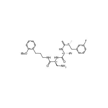 C=C(N[C@@H](C(=O)N[C@@H](CN)C(=O)NCCCc1ccccc1OCC(C)C)C(C)C)[C@H](C)Cc1cccc(F)c1